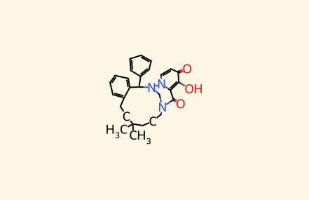 CC1(C)CCCN2CN(C(c3ccccc3)c3ccccc3CC1)n1ccc(=O)c(O)c1C2=O